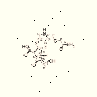 C[C@@H](O)[C@H]1C(=O)N2C(C(=O)O)=C(S[C@@H]3CN[C@H](COCC(N)=O)C3)[C@H](C)[C@H]12